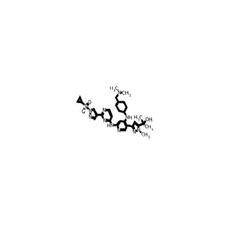 CN(C)CC1CCC(Nc2cc(Nc3ccnc(-c4cnn(S(=O)(=O)C5CC5)c4)n3)ncc2-c2cc(C(C)(C)O)n(C)n2)CC1